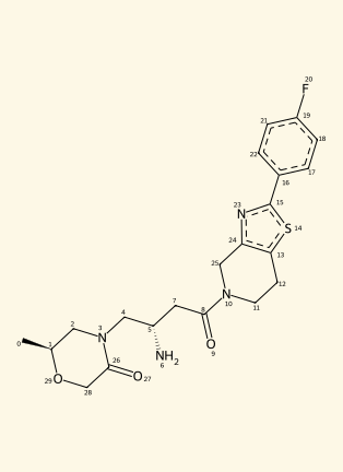 C[C@H]1CN(C[C@@H](N)CC(=O)N2CCc3sc(-c4ccc(F)cc4)nc3C2)C(=O)CO1